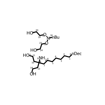 CCCCCCCCCCCCCCCCCC(N)(CCO)CCO.CCCCN(OCCO)OCCO